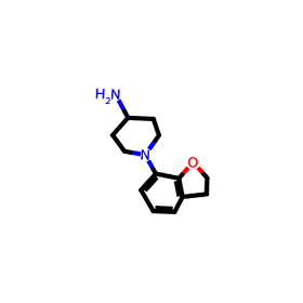 NC1CCN(c2cccc3c2OCC3)CC1